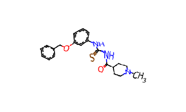 CN1CCC(C(=O)NC(=S)Nc2cccc(OCc3ccccc3)c2)CC1